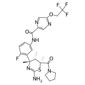 C[C@@H]1[C@@](C)(C(=O)N2CCCC2)SC(N)=N[C@]1(C)c1cc(NC(=O)c2cnc(OCC(F)(F)F)cn2)ccc1F